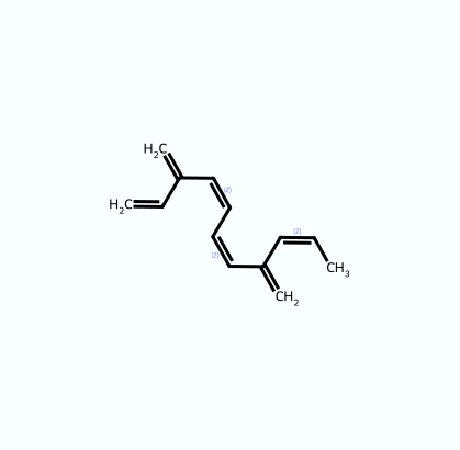 C=CC(=C)/C=C\C=C/C(=C)/C=C\C